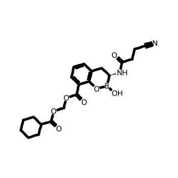 N#CCCC(=O)N[C@H]1Cc2cccc(C(=O)OCOC(=O)C3CCCCC3)c2OB1O